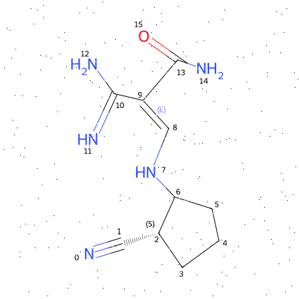 N#C[C@H]1CCCC1N/C=C(\C(=N)N)C(N)=O